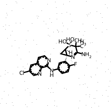 CC1(C)C(N)=N[C@@]2(c3cc(Nc4nccc5cc(Cl)cnc45)ccc3F)C[C@H]2S1(O)O